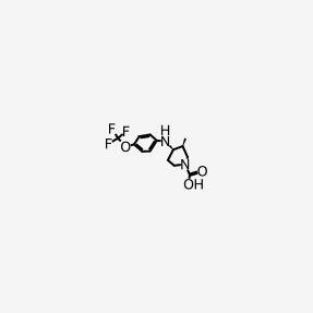 C[C@H]1CN(C(=O)O)CC[C@H]1Nc1ccc(OC(F)(F)F)cc1